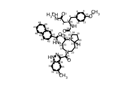 CNC(=O)C[C@@H](Cc1ccc(OC)cc1)NC(=O)[C@@H]1CC[C@@H]2CCN(C(=O)c3n[nH]c4ccc(C)cc34)C[C@H](NC(=O)c3ccc4ccccc4c3)C(=O)N21